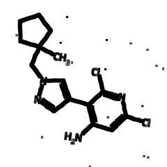 CC1(Cn2cc(-c3c(N)cc(Cl)nc3Cl)cn2)CCCC1